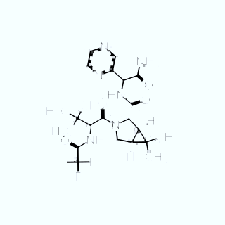 CC(C)(C)[C@H](NC(=O)C(F)(F)F)C(=O)N1C[C@H]2[C@@H]([C@H]1C(=O)NC(C(N)=O)c1cnccn1)C2(C)C